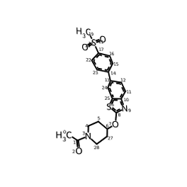 CC(=O)N1CCC(Oc2nc3ccc(-c4ccc(S(C)(=O)=O)cc4)cc3s2)CC1